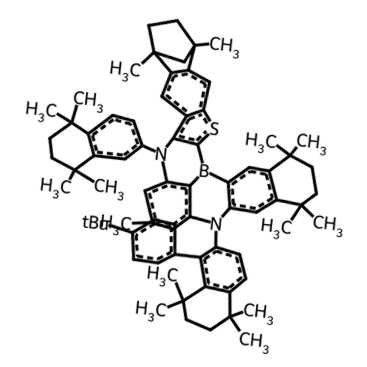 Cc1cc2c3c(c1)N(c1ccc4c(c1)C(C)(C)CCC4(C)C)c1c(sc4cc5c(cc14)C1(C)CCC5(C)C1)B3c1cc3c(cc1N2c1ccc2c(c1-c1ccc(C(C)(C)C)cc1)C(C)(C)CCC2(C)C)C(C)(C)CCC3(C)C